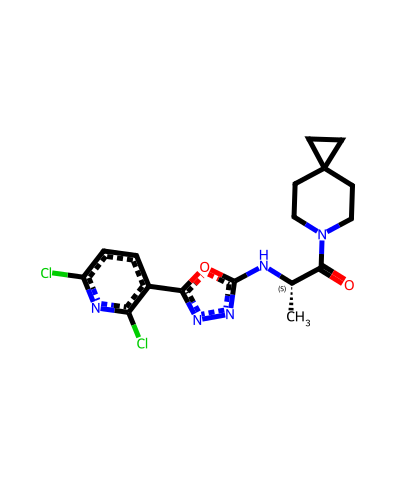 C[C@H](Nc1nnc(-c2ccc(Cl)nc2Cl)o1)C(=O)N1CCC2(CC1)CC2